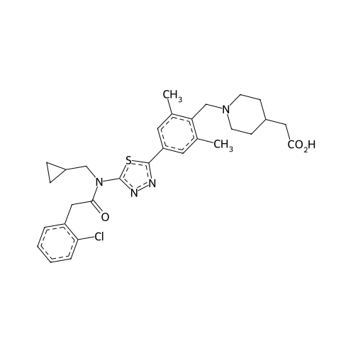 Cc1cc(-c2nnc(N(CC3CC3)C(=O)Cc3ccccc3Cl)s2)cc(C)c1CN1CCC(CC(=O)O)CC1